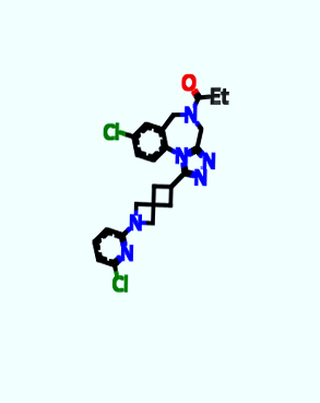 CCC(=O)N1Cc2cc(Cl)ccc2-n2c(nnc2C2CC3(C2)CN(c2cccc(Cl)n2)C3)C1